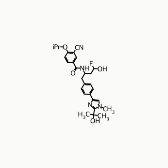 CC(C)Oc1ccc(C(=O)NC(Cc2ccc(-c3cn(C)c(C(C)(C)O)n3)cc2)CC(O)F)cc1C#N